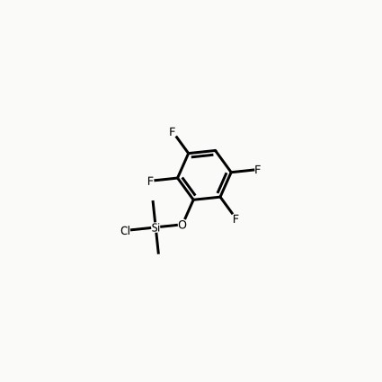 C[Si](C)(Cl)Oc1c(F)c(F)cc(F)c1F